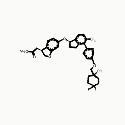 COC(=O)C[C@@H]1COc2cc(O[C@@H]3CCc4c3ccc(C(F)(F)F)c4-c3ccc(OCC4(O)CCC(F)(F)CC4)cc3)ccc21